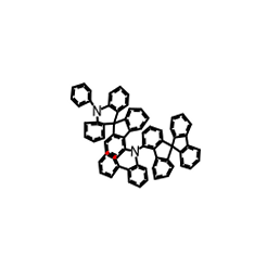 c1ccc(-c2ccccc2N(c2cccc3c2-c2ccccc2C32c3ccccc3-c3ccccc32)c2cccc3c2-c2ccccc2C32c3ccccc3N(c3ccccc3)c3ccccc32)cc1